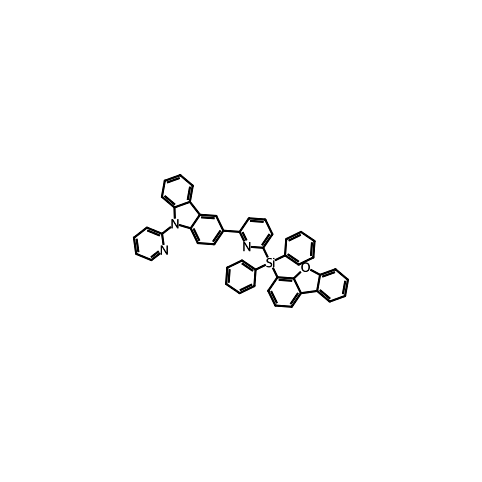 c1ccc([Si](c2ccccc2)(c2cccc(-c3ccc4c(c3)c3ccccc3n4-c3ccccn3)n2)c2cccc3c2oc2ccccc23)cc1